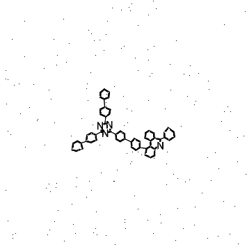 c1ccc(-c2ccc(-c3nc(-c4ccc(-c5ccccc5)cc4)nc(-c4ccc(-c5ccc(-c6cccc7nc(-c8ccccc8)c8ccccc8c67)cc5)cc4)n3)cc2)cc1